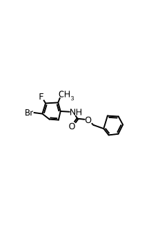 Cc1c(NC(=O)OCc2ccccc2)ccc(Br)c1F